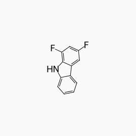 Fc1cc(F)c2[nH]c3ccccc3c2c1